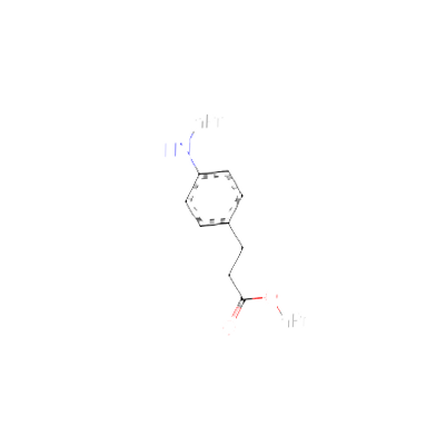 CCCNc1ccc(CCC(=O)OCCC)cc1